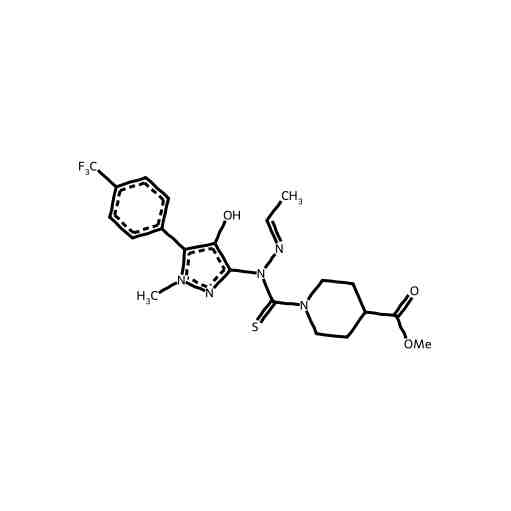 CC=NN(C(=S)N1CCC(C(=O)OC)CC1)c1nn(C)c(-c2ccc(C(F)(F)F)cc2)c1O